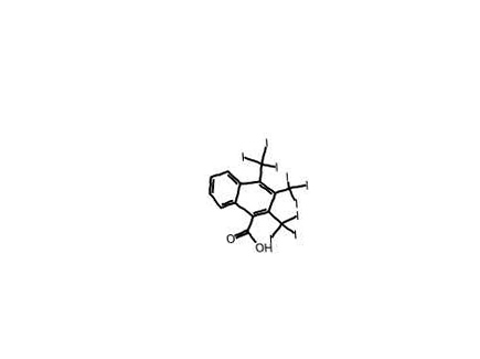 O=C(O)c1c(C(I)(I)I)c(C(I)(I)I)c(C(I)(I)I)c2ccccc12